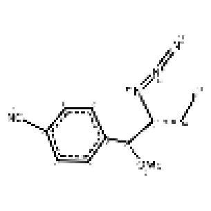 CO[C@H](c1ccc(C#N)cc1)[C@@H](CF)N=[N+]=[N-]